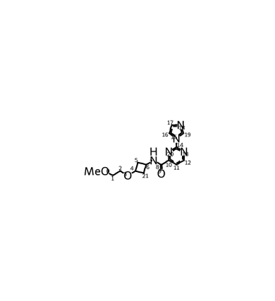 COCCOC1CC(NC(=O)c2ccnc(-n3ccnc3)n2)C1